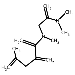 C=C(C)CC(=C)C(=C)N(C)CC(=C)N(C)C